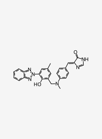 Cc1cc(CN(C)c2ccc(/C=C3\N=CNC3=O)cc2)c(O)c(-n2nc3ccccc3n2)c1